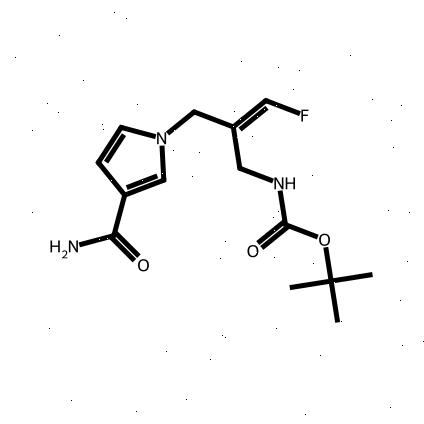 CC(C)(C)OC(=O)NC/C(=C\F)Cn1ccc(C(N)=O)c1